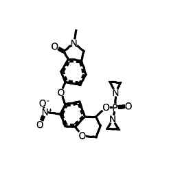 CN1Cc2ccc(Oc3cc4c(cc3[N+](=O)[O-])OCCC4OP(=O)(N3CC3)N3CC3)cc2C1=O